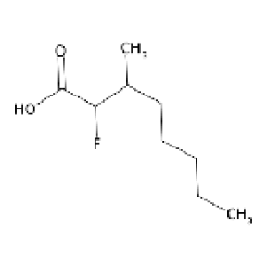 CCCCCC(C)C(F)C(=O)O